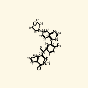 CC(c1ccc(F)c(-c2ncnc3cc(N4CCOCC4)ccc23)c1)c1n[nH]c(=O)c2ccsc12